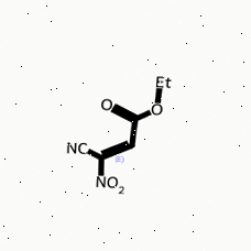 CCOC(=O)/C=C(\C#N)[N+](=O)[O-]